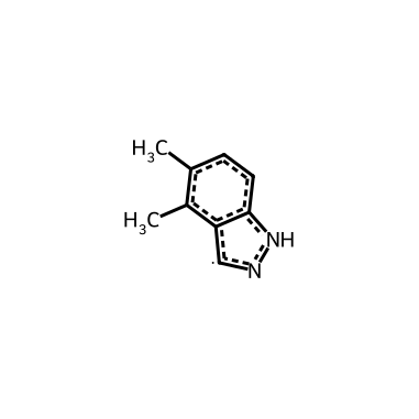 Cc1ccc2[nH]n[c]c2c1C